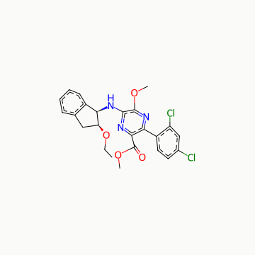 CCO[C@H]1Cc2ccccc2[C@H]1Nc1nc(C(=O)OC)c(-c2ccc(Cl)cc2Cl)nc1OC